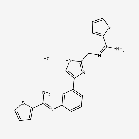 Cl.NC(=Nc1cccc(-c2c[nH]c(C/N=C(/N)c3cccs3)n2)c1)c1cccs1